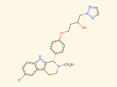 CCOC(=O)N1CCc2c([nH]c3ccc(Cl)cc23)[C@@H]1c1ccc(OCCC(O)Cn2nccn2)cc1